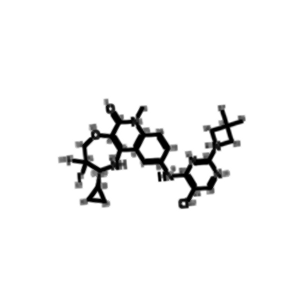 Cn1c(=O)c2c(c3cc(Nc4nc(N5CC(C)(C)C5)ncc4Cl)ccc31)N[C@@H](C1CC1)C(F)(F)CO2